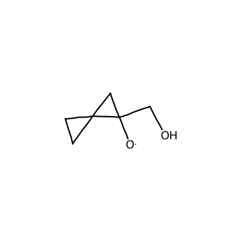 [O]C1(CO)CC12CC2